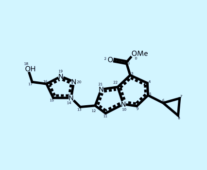 COC(=O)c1cc(C2CC2)cn2cc(Cn3cc(CO)nn3)nc12